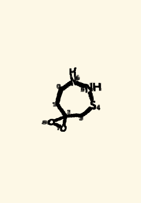 C1CC2(CSNN1)OO2